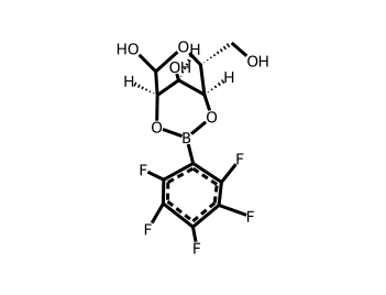 OC[C@H]1OC(O)[C@@H]2OB(c3c(F)c(F)c(F)c(F)c3F)O[C@H]1[C@@H]2O